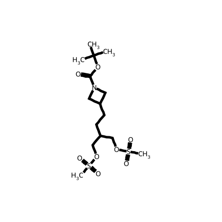 CC(C)(C)OC(=O)N1CC(CCC(COS(C)(=O)=O)COS(C)(=O)=O)C1